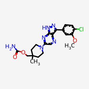 COc1cc(-c2n[nH]c3nc(N4CCC(C)(COC(N)=O)CC4)cnc23)ccc1Cl